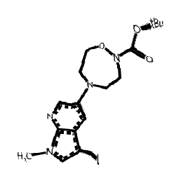 Cn1cc(I)c2cc(N3CCON(C(=O)OC(C)(C)C)CC3)cnc21